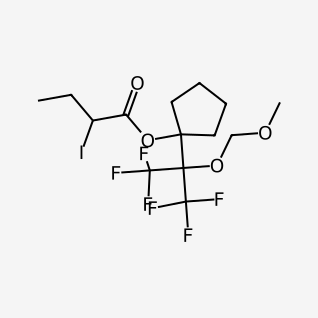 CCC(I)C(=O)OC1(C(OCOC)(C(F)(F)F)C(F)(F)F)CCCC1